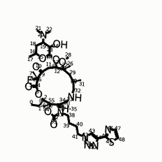 CC[C@H]1OC(=O)[C@](C)(F)C(=O)C[C@@H](O[C@@H]2OC(C)CC(N(C)C)C2O)[C@](C)(OC)C[C@@H](C)CN[C@H](C)[C@H]2N(CCCCn3cc(-c4nccs4)nn3)C(=O)O[C@]12C